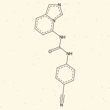 N#Cc1ccc(NC(=O)Nc2cccc3cncn23)cc1